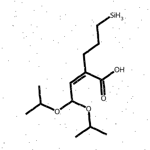 CC(C)OC(C=C(CCC[SiH3])C(=O)O)OC(C)C